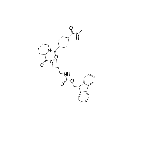 CNC(=O)C1CCC(C(=O)N2CCCCC2C(=O)NCCCNC(=O)OCC2c3ccccc3-c3ccccc32)CC1